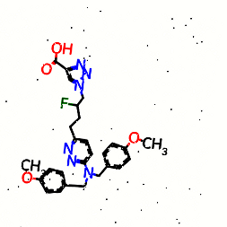 COc1ccc(CN(Cc2ccc(OC)cc2)c2ccc(CCC(F)Cn3cc(C(=O)O)nn3)nn2)cc1